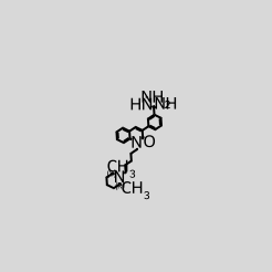 C[C@@H]1CCC[C@H](C)N1CCCCCn1c(=O)c(-c2cccc(C(=N)NN)c2)cc2ccccc21